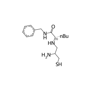 CCCC[C@H](NCC(N)CS)C(=O)NCc1ccccc1